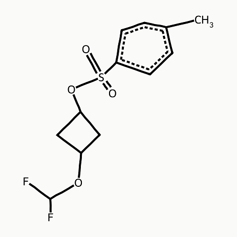 Cc1ccc(S(=O)(=O)OC2CC(OC(F)F)C2)cc1